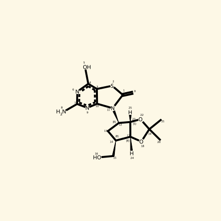 C=C1Sc2c(O)nc(N)nc2N1[C@@H]1C[C@H](CO)[C@H]2OC(C)(C)O[C@H]21